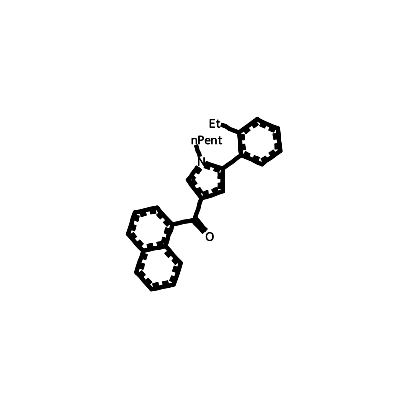 CCCCCn1cc(C(=O)c2cccc3ccccc23)cc1-c1ccccc1CC